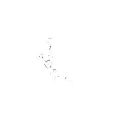 CCCC(=O)OCC(CC)NC(=O)c1ccc(C2CC2)c(S(=O)(=O)CC=CCC(C)C)n1